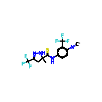 [C-]#[N+]c1ccc(NC(=S)C2(C)CC(C(F)(F)F)=NN2)cc1C(F)(F)F